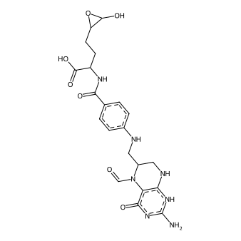 Nc1nc(=O)c2c([nH]1)NCC(CNc1ccc(C(=O)NC(CCC3OC3O)C(=O)O)cc1)N2C=O